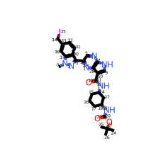 Cn1nc(-c2cnc3[nH]cc(C(=O)NC4CCCC(NC(=O)OC(C)(C)C)C4)c3n2)c2ccc(CI)cc21